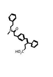 CN(CCc1ccccc1)C(=O)Cc1ccc(/C=C(\CCC(=O)O)c2ccccc2)cc1